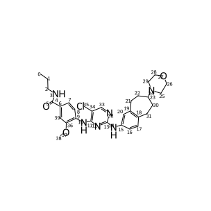 CCCNC(=O)c1ccc(Nc2nc(Nc3ccc4c(c3)CCC(N3CCOCC3)CC4)ncc2Cl)c(OC)c1